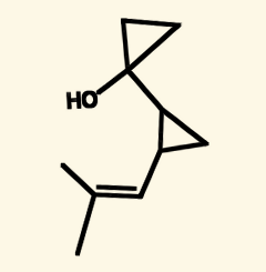 CC(C)=CC1CC1C1(O)CC1